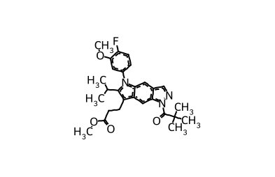 COC(=O)CCc1c(C(C)C)n(-c2ccc(F)c(OC)c2)c2cc3cnn(C(=O)C(C)(C)C)c3cc12